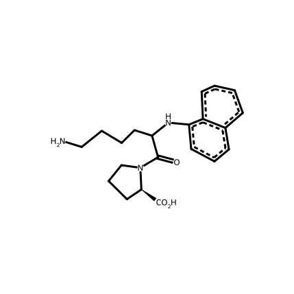 NCCCCC(Nc1cccc2ccccc12)C(=O)N1CCC[C@@H]1C(=O)O